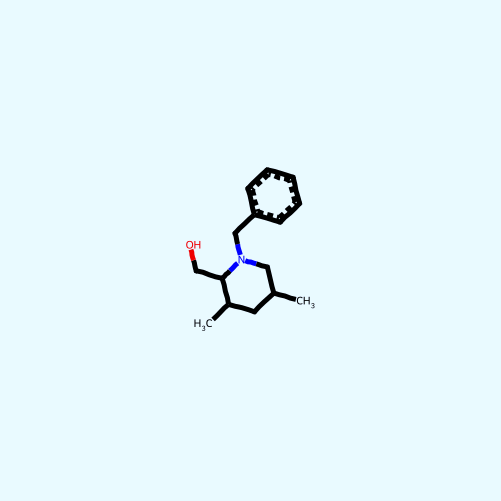 CC1CC(C)C(CO)N(Cc2ccccc2)C1